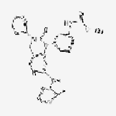 CC(C)(C)OC(=O)Nc1cccc(N2C(=O)N(c3ccccc3)Cc3cnc(Nc4cccnc4F)nc32)c1